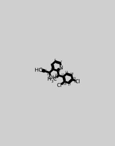 C#CC(O)c1cccnc1C(C)c1ccc(Cl)cc1Cl